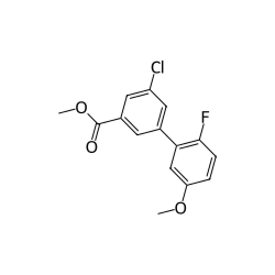 COC(=O)c1cc(Cl)cc(-c2cc(OC)ccc2F)c1